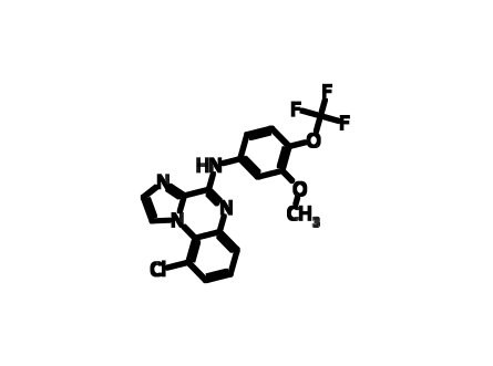 COc1cc(Nc2nc3cccc(Cl)c3n3ccnc23)ccc1OC(F)(F)F